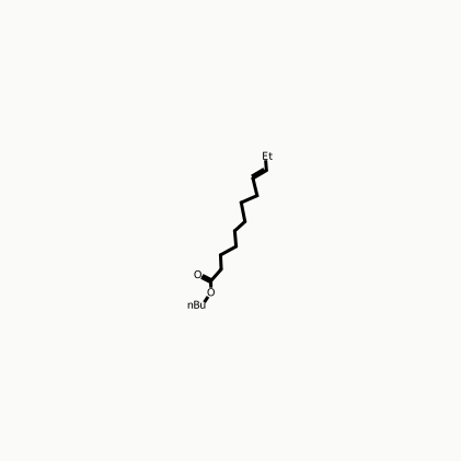 CC/C=C/CCCCCCCC(=O)OCCCC